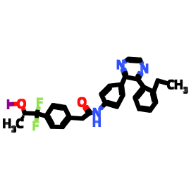 CCc1ccccc1-c1nccnc1-c1ccc(NC(=O)Cc2ccc(C(F)(F)[C@H](C)OI)cc2)cc1